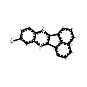 CC(=O)c1ccc2nc3c(nc2c1)-c1cccc2cccc-3c12